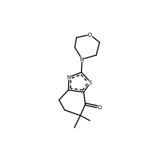 CC1(C)CCc2nc(N3CCOCC3)sc2C1=O